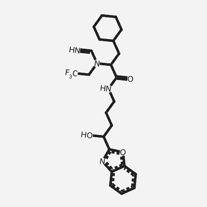 N=CN(CC(F)(F)F)C(CC1CCCCC1)C(=O)NCCCC(O)c1nc2ccccc2o1